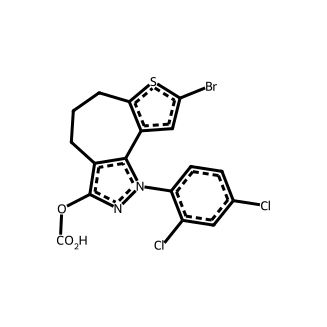 O=C(O)Oc1nn(-c2ccc(Cl)cc2Cl)c2c1CCCc1sc(Br)cc1-2